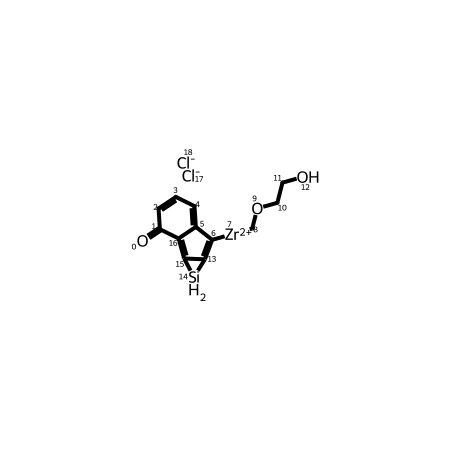 O=C1C=CC=C2[C]([Zr+2][CH2]OCCO)=C3[SiH2]C3=C12.[Cl-].[Cl-]